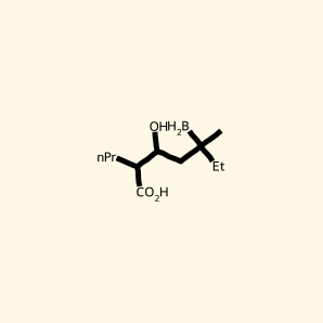 BC(C)(CC)CC(O)C(CCC)C(=O)O